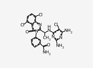 CC(Nc1nc(N)nc(N)c1Cl)c1nc2c(Cl)ccc(Cl)c2c(=O)n1-c1cccc(C(N)=O)c1